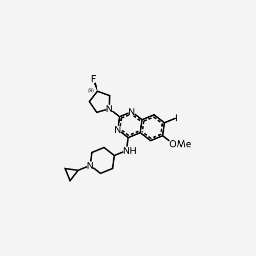 COc1cc2c(NC3CCN(C4CC4)CC3)nc(N3CC[C@@H](F)C3)nc2cc1I